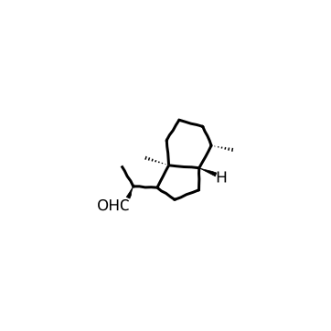 C[C@H](C=O)C1CC[C@H]2[C@@H](C)CCC[C@]12C